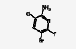 Nc1nc(F)c(Br)cc1Cl